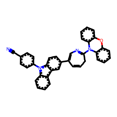 N#Cc1ccc(-n2c3ccccc3c3cc(C4=CN=C(N5c6ccccc6Oc6ccccc65)CC=C4)ccc32)cc1